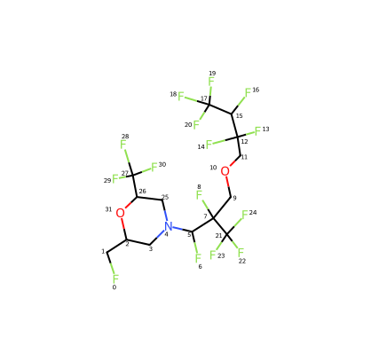 FCC1CN(C(F)C(F)(COCC(F)(F)C(F)C(F)(F)F)C(F)(F)F)CC(C(F)(F)F)O1